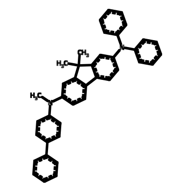 CN(c1ccc(-c2ccccc2)cc1)c1ccc2c(c1)C(C)(C)c1cc(N(c3ccccc3)c3ccccc3)ccc1-2